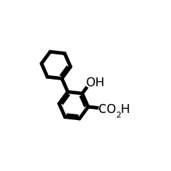 O=C(O)c1cccc(C2=CCCCC2)c1O